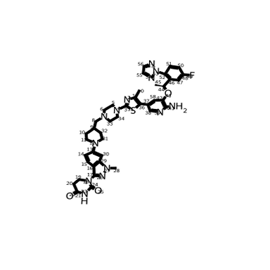 Cc1nc(N2CCN(CC3CCN(c4ccc5c(N6CCC(=O)NC6=O)nn(C)c5c4)CC3)CC2)sc1-c1cnc(N)c(O[C@@H](C)c2cc(F)ccc2-n2nccn2)c1